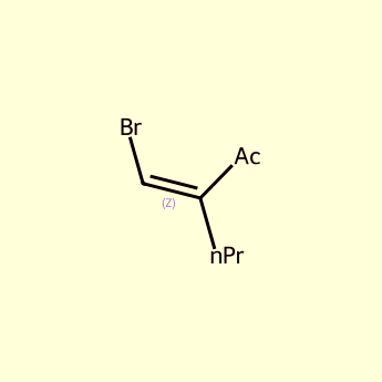 CCC/C(=C/Br)C(C)=O